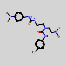 CCN(CC)CCN(CCNC(=S)Nc1ccc(N(CC)CC)cc1)C(=O)Nc1ccc(C(F)(F)F)cc1